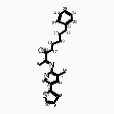 C/C(=N\c1ncc(-c2cccs2)cc1C)C(=O)CCCCCc1ccccc1